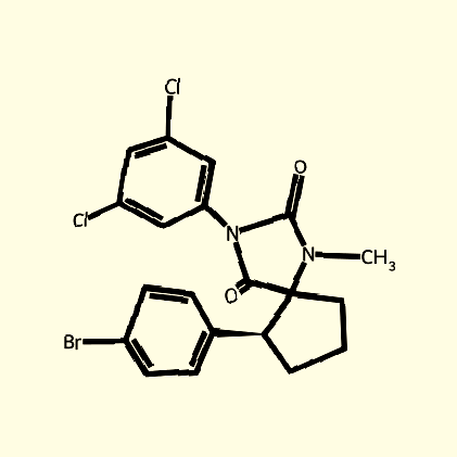 CN1C(=O)N(c2cc(Cl)cc(Cl)c2)C(=O)C12CCC[C@H]2c1ccc(Br)cc1